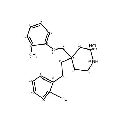 Cc1ccccc1OCC1(CCc2ccccc2F)CCNCC1.Cl